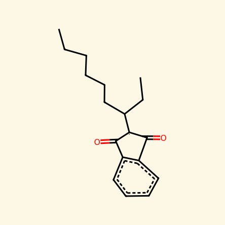 CCCCCCC(CC)[C]1C(=O)c2ccccc2C1=O